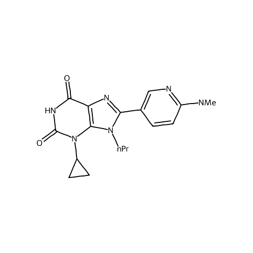 CCCn1c(-c2ccc(NC)nc2)nc2c(=O)[nH]c(=O)n(C3CC3)c21